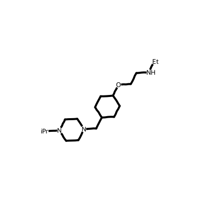 CCNCCOC1CCC(CN2CCN(C(C)C)CC2)CC1